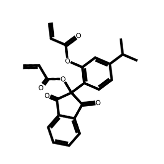 C=CC(=O)Oc1cc(C(C)C)ccc1C1(OC(=O)C=C)C(=O)c2ccccc2C1=O